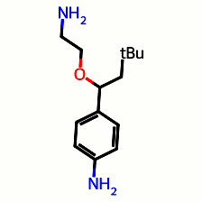 CC(C)(C)CC(OCCN)c1ccc(N)cc1